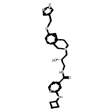 O=C(NC[C@H](O)CN1CCc2cc(OCc3cn[nH]c3)ccc2C1)c1ccnc(NC2CCC2)c1